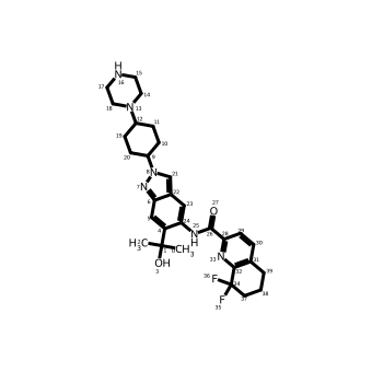 CC(C)(O)c1cc2nn(C3CCC(N4CCNCC4)CC3)cc2cc1NC(=O)c1ccc2c(n1)C(F)(F)CCC2